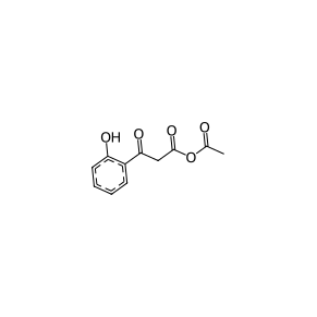 CC(=O)OC(=O)CC(=O)c1ccccc1O